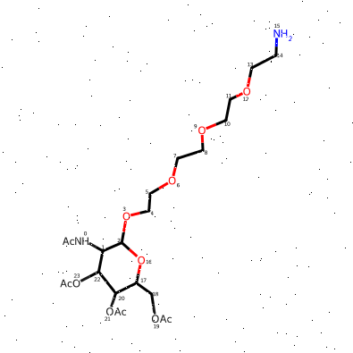 CC(=O)NC1C(OCCOCCOCCOCCN)OC(COC(C)=O)C(OC(C)=O)C1OC(C)=O